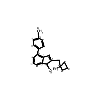 CCC1(CC2=Cc3c(-c4ccc(C)cc4)cccc3[CH]2[Zr])CCC1